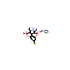 CCOC(=O)C1=C(CC)NC(CC)=C(C(=O)OCCN2CCOCC2)C1c1ccc(C(F)(F)F)cc1